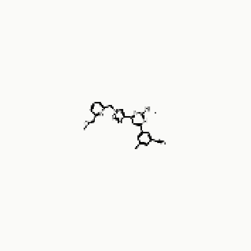 COCc1cccc(Cn2cc(-c3cc(-c4cc(C)cc(C#N)c4)nc(N)n3)nn2)n1